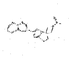 CC(=O)N1CC2(CCn3nc(-c4cnc5ccccc5c4)cc32)C1